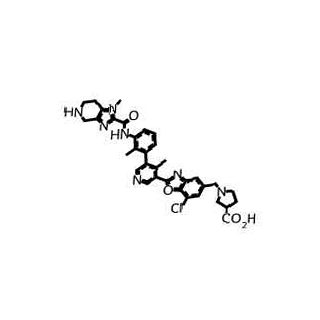 Cc1c(NC(=O)c2nc3c(n2C)CCNC3)cccc1-c1cncc(-c2nc3cc(CN4CC[C@@H](C(=O)O)C4)cc(Cl)c3o2)c1C